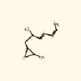 C/C=C\C=C\C(C)CC1OC1CCCC